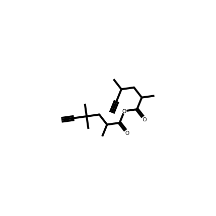 C#CC(C)CC(C)C(=O)OC(=O)C(C)CC(C)(C)C#C